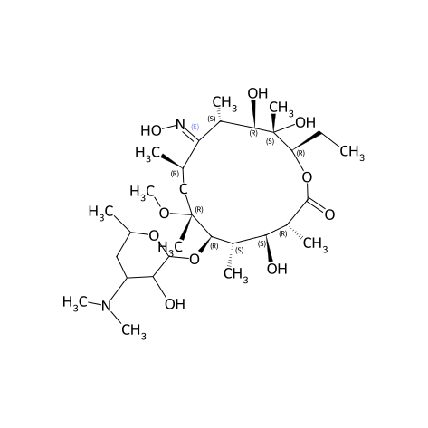 CC[C@H]1OC(=O)[C@H](C)[C@@H](O)[C@H](C)[C@@H](OC2OC(C)CC(N(C)C)C2O)[C@](C)(OC)C[C@@H](C)/C(=N\O)[C@H](C)[C@@H](O)[C@]1(C)O